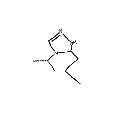 CCCC1NN=CN1C(C)C